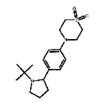 CC(C)(C)N1CCCC1c1ccc(N2CCS(=O)(=O)CC2)cc1